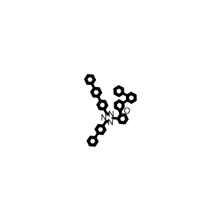 c1ccc(-c2ccc(-c3ccc(-c4nc(-c5ccc(-c6ccccc6)cc5)nc(-c5cccc6oc7c(-c8ccccc8-c8ccccc8)cccc7c56)n4)cc3)cc2)cc1